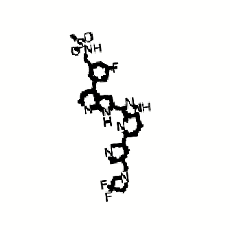 CS(=O)(=O)NCc1cc(F)cc(-c2ccnc3[nH]c(-c4n[nH]c5ccc(-c6cncc(CN7CCC(F)(F)C7)c6)nc45)cc23)c1